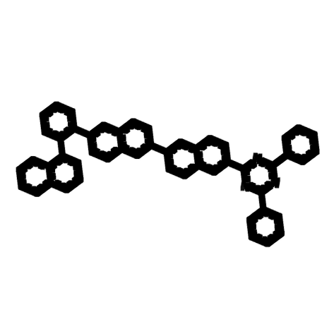 c1ccc(-c2nc(-c3ccccc3)nc(-c3ccc4cc(-c5ccc6cc(-c7ccccc7-c7cccc8ccccc78)ccc6c5)ccc4c3)n2)cc1